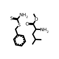 COC(=O)C(N)CC(C)C.NC(=S)SCc1ccccc1